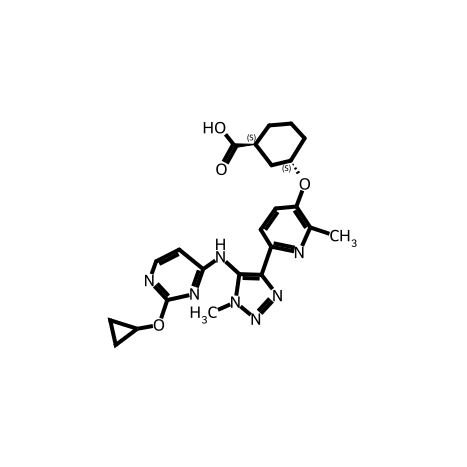 Cc1nc(-c2nnn(C)c2Nc2ccnc(OC3CC3)n2)ccc1O[C@H]1CCC[C@H](C(=O)O)C1